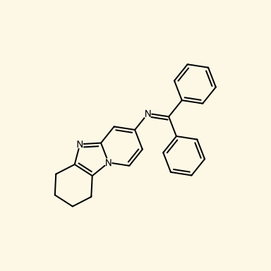 c1ccc(C(=Nc2ccn3c4c(nc3c2)CCCC4)c2ccccc2)cc1